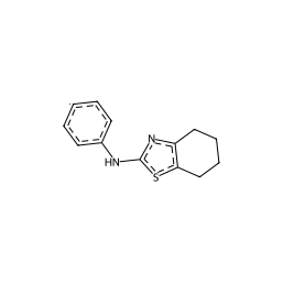 [c]1ccc(Nc2nc3c(s2)CCCC3)cc1